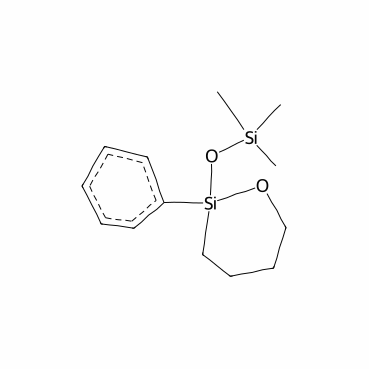 C[Si](C)(C)O[Si]1(c2ccccc2)CCCCO1